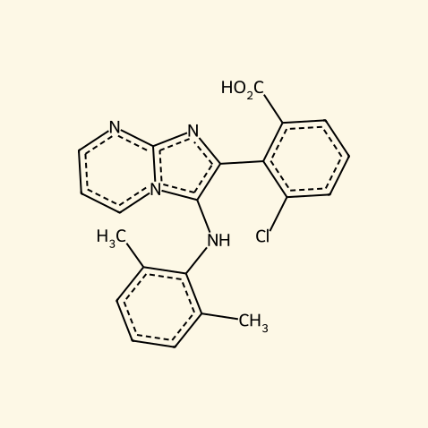 Cc1cccc(C)c1Nc1c(-c2c(Cl)cccc2C(=O)O)nc2ncccn12